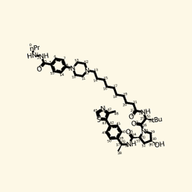 CCCNNC(=O)c1ccc(N2CCN(CCCCCCCCCC(=O)N[C@H](C(=O)N3C[C@H](O)C[C@H]3C(=O)N[C@@H](C)c3ccc(-c4scnc4C)cc3)C(C)(C)C)CC2)cc1